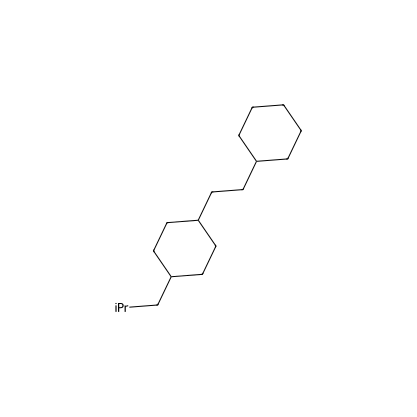 CC(C)CC1CCC(CCC2CCCCC2)CC1